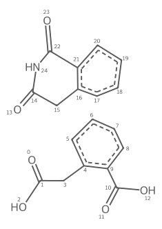 O=C(O)Cc1ccccc1C(=O)O.O=C1Cc2ccccc2C(=O)N1